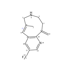 C=C1CCNC/C(C)=C/c2cc(C(F)(F)F)cnc21